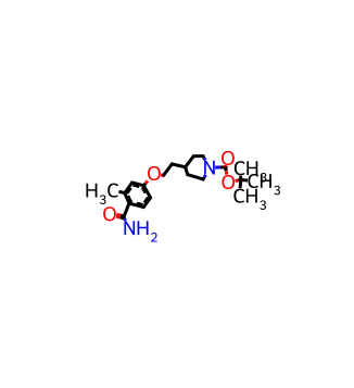 Cc1cc(OCCC2CCN(C(=O)OC(C)(C)C)CC2)ccc1C(N)=O